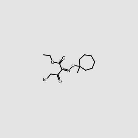 CCOC(=O)C(=NOC1(C)CCCCCC1)C(=O)CBr